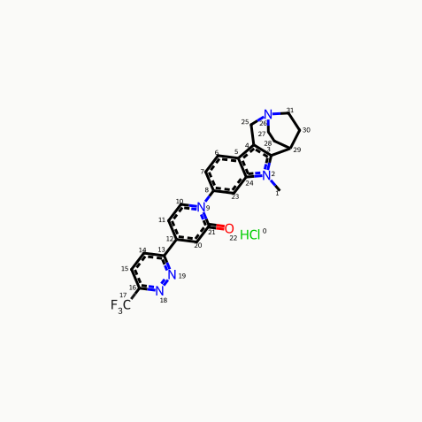 Cl.Cn1c2c(c3ccc(-n4ccc(-c5ccc(C(F)(F)F)nn5)cc4=O)cc31)CN1CCC2CC1